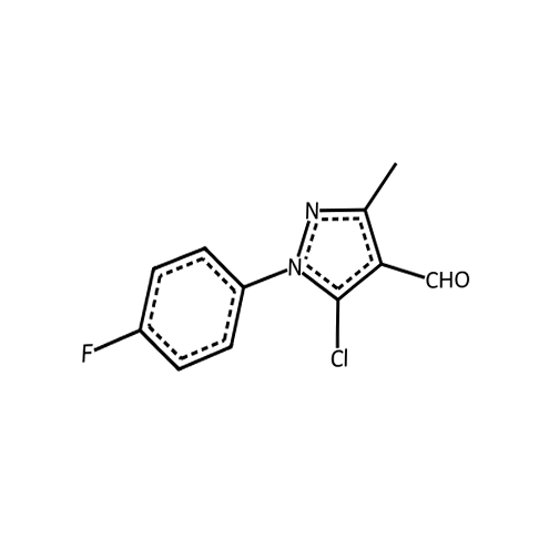 Cc1nn(-c2ccc(F)cc2)c(Cl)c1C=O